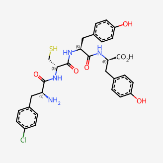 N[C@@H](Cc1ccc(Cl)cc1)C(=O)N[C@H](CS)C(=O)N[C@@H](Cc1ccc(O)cc1)C(=O)N[C@H](Cc1ccc(O)cc1)C(=O)O